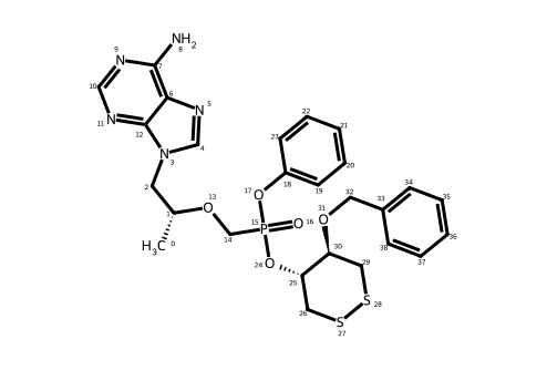 C[C@H](Cn1cnc2c(N)ncnc21)OCP(=O)(Oc1ccccc1)O[C@H]1CSSC[C@@H]1OCc1ccccc1